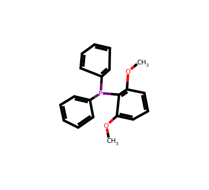 COc1cccc(OC)c1P(c1ccccc1)c1ccccc1